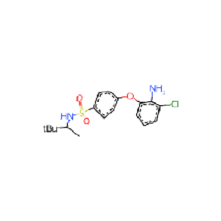 CC(NS(=O)(=O)c1ccc(Oc2cccc(Cl)c2N)cc1)C(C)(C)C